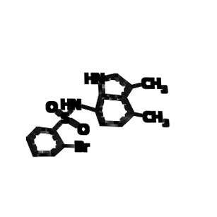 Cc1ccc(NS(=O)(=O)c2ccccc2Br)c2[nH]cc(C)c12